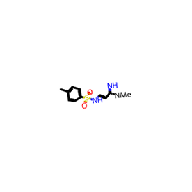 CNC(=N)C=CNS(=O)(=O)c1ccc(C)cc1